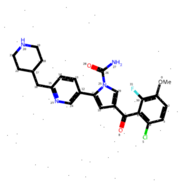 COc1ccc(Cl)c(C(=O)c2cc(-c3ccc(CC4CCNCC4)nc3)n(C(N)=O)c2)c1F